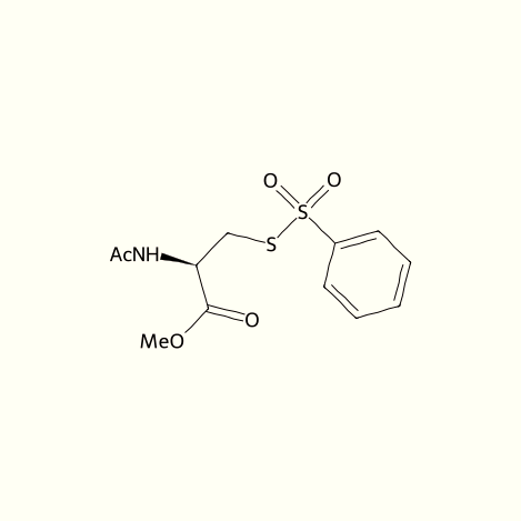 COC(=O)[C@H](CSS(=O)(=O)c1ccccc1)NC(C)=O